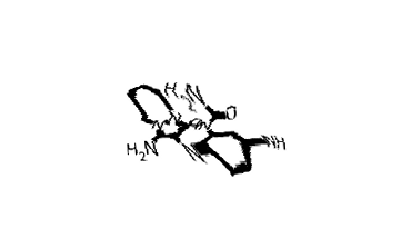 N=C1C=C/C(=N/c2c(N)n3n(c2=O)CCCC3)C(NC(N)=O)=C1